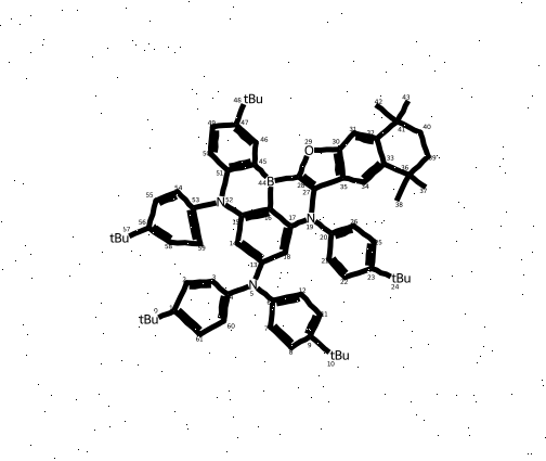 CC(C)(C)c1ccc(N(c2ccc(C(C)(C)C)cc2)c2cc3c4c(c2)N(c2ccc(C(C)(C)C)cc2)c2c(oc5cc6c(cc25)C(C)(C)CCC6(C)C)B4c2cc(C(C)(C)C)ccc2N3c2ccc(C(C)(C)C)cc2)cc1